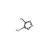 Cc1nnsc1Cl